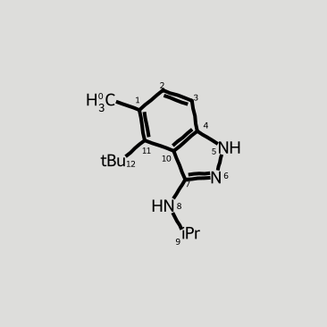 Cc1ccc2[nH]nc(NC(C)C)c2c1C(C)(C)C